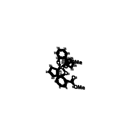 COC(=O)c1ccccc1[O][Zr]([O]c1ccccc1C(=O)OC)([C]1=CC=CC1)[C]1=CC=CC1